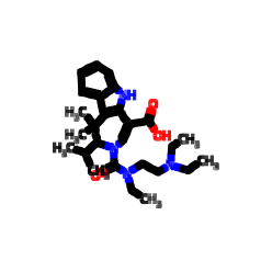 CCN(CC)CCN(CC)C(=O)N1C=C(C(=O)O)c2[nH]c3ccccc3c2C(C)(C)C1C(C)C